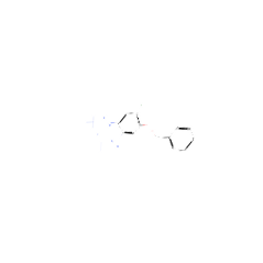 Nc1cc(Cl)c(OCc2ccccc2)cc1N